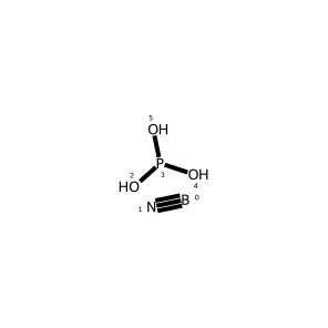 B#N.OP(O)O